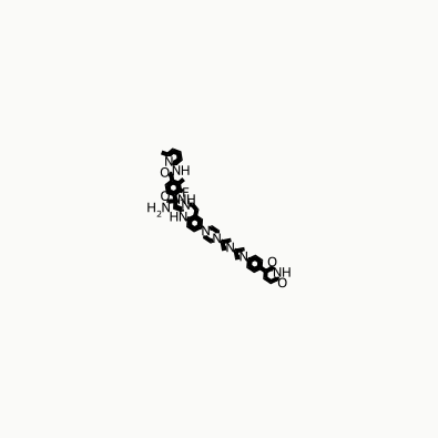 Cc1cccc(NC(=O)c2ccc(C3(C(N)=O)C=C4Nc5ccc(N6CCN(C7CN(C8CN(c9ccc(C%10CCC(=O)NC%10=O)cc9)C8)C7)CC6)cc5CCN4N3)c(F)c2C)n1